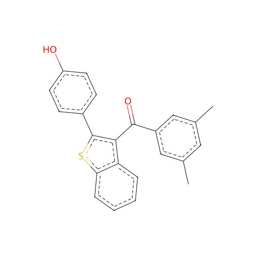 Cc1cc(C)cc(C(=O)c2c(-c3ccc(O)cc3)sc3ccccc23)c1